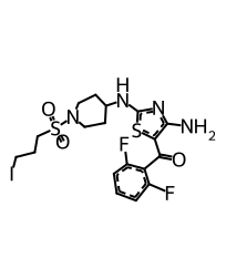 Nc1nc(NC2CCN(S(=O)(=O)CCCI)CC2)sc1C(=O)c1c(F)cccc1F